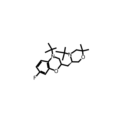 CC1(C)CN(C(C)(C)C)[C@H](CC2CN(C(C)(C)C)c3ccc(F)cc3O2)CO1